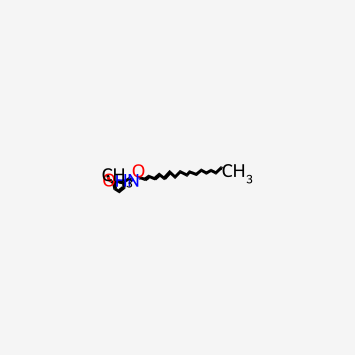 CCCCCCCCCCCC=CC=CC=CC(=O)NCc1cccc(OC)c1